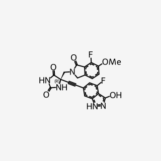 COc1ccc2c(c1F)C(=O)N(C[C@@]1(C#Cc3cc(F)c4c(O)n[nH]c4c3)NC(=O)NC1=O)C2